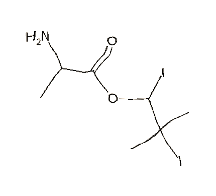 CC(N)C(=O)OC(I)C(C)(C)I